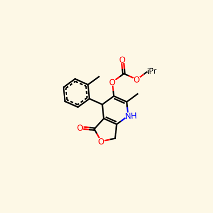 CC1=C(OC(=O)OC(C)C)C(c2ccccc2C)C2=C(COC2=O)N1